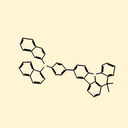 CC1(C)c2ccccc2-n2c3ccc(-c4ccc(N(c5ccc6ccccc6c5)c5cccc6ccccc56)cc4)cc3c3cccc1c32